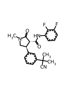 CN1C[C@H](c2cccc(C(C)(C)C#N)c2)[C@@H](C(=O)Nc2cccc(F)c2F)C1=O